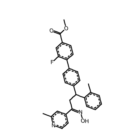 COC(=O)c1ccc(-c2ccc(C(C/C(=N/O)c3ccnc(C)c3)c3ccccc3C)cc2)c(F)c1